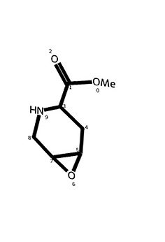 COC(=O)C1CC2OC2CN1